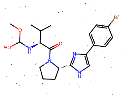 COC(O)N[C@H](C(=O)N1CCC[C@H]1c1nc(-c2ccc(Br)cc2)c[nH]1)C(C)C